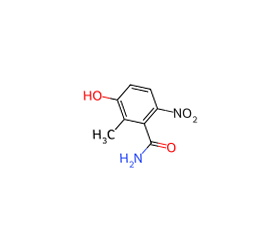 Cc1c(O)ccc([N+](=O)[O-])c1C(N)=O